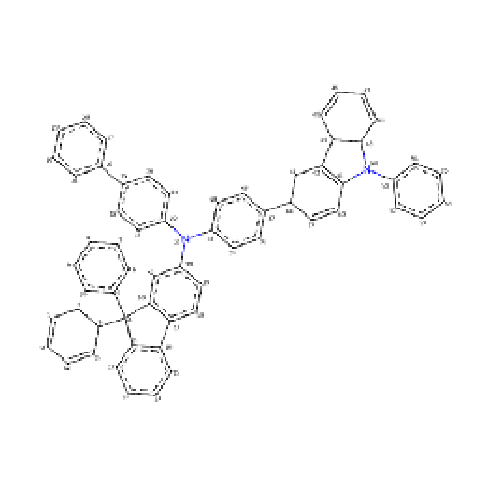 C1=CCC(C2(c3ccccc3)c3ccccc3-c3ccc(N(c4ccc(-c5ccccc5)cc4)c4ccc(C5C=CC6=C(C5)C5C=CC=CC5N6c5ccccc5)cc4)cc32)C=C1